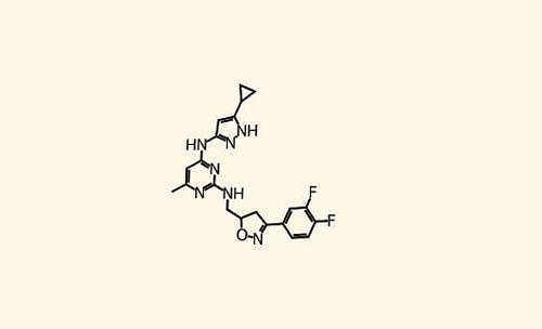 Cc1cc(Nc2cc(C3CC3)[nH]n2)nc(NCC2CC(c3ccc(F)c(F)c3)=NO2)n1